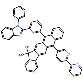 CC1(C)c2ccccc2-c2cc3c(-c4ccc(-c5ccccn5)nc4)c4ccccc4c(-c4cccc(-c5nc6ccccc6n5-c5ccccc5)c4)c3cc21